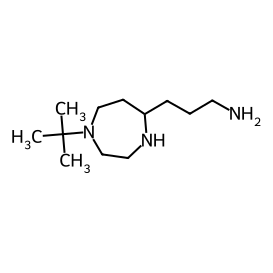 CC(C)(C)N1CCNC(CCCN)CC1